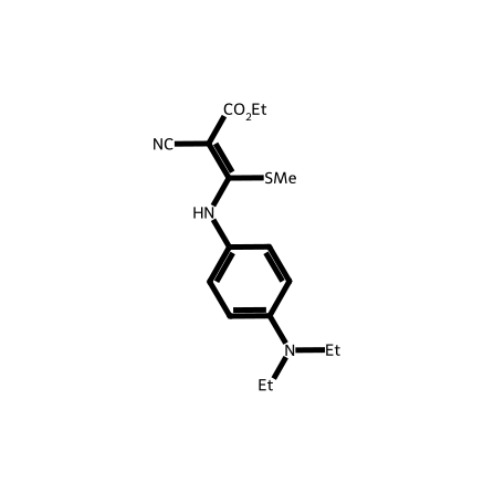 CCOC(=O)/C(C#N)=C(/Nc1ccc(N(CC)CC)cc1)SC